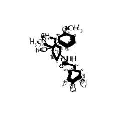 COc1cccc([C@@]23CC[N+](C)(C)C[C@@]2(O)CC[C@H](NC(=O)Cc2ccc(Cl)c(Cl)c2)C3)c1